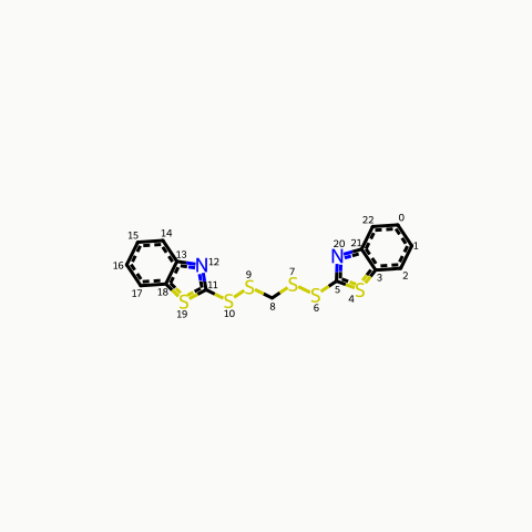 c1ccc2sc(SSCSSc3nc4ccccc4s3)nc2c1